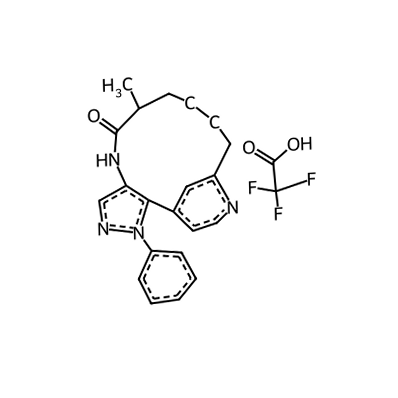 CC1CCCCc2cc(ccn2)-c2c(cnn2-c2ccccc2)NC1=O.O=C(O)C(F)(F)F